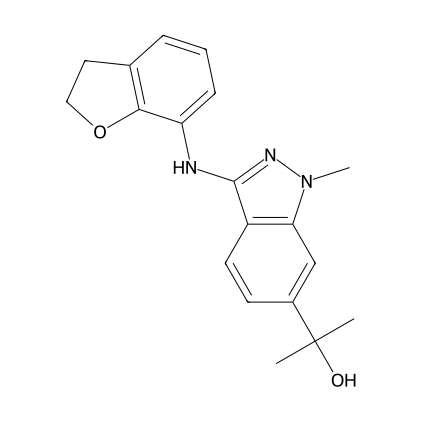 Cn1nc(Nc2cccc3c2OCC3)c2ccc(C(C)(C)O)cc21